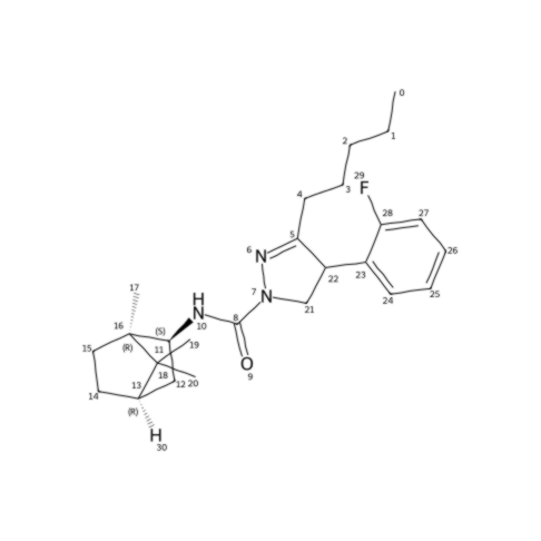 CCCCCC1=NN(C(=O)N[C@H]2C[C@H]3CC[C@]2(C)C3(C)C)CC1c1ccccc1F